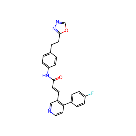 O=C(/C=C/c1cnccc1-c1ccc(F)cc1)Nc1ccc(CCc2nnco2)cc1